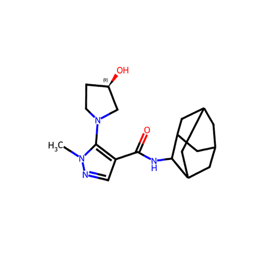 Cn1ncc(C(=O)NC2C3CC4CC(C3)CC2C4)c1N1CC[C@@H](O)C1